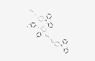 Fc1ccc([C@@H]2CCNC[C@H]2COc2ccc3c(c2)OCO3)cc1.OCCOCCN1CCN(C2=Nc3ccccc3Sc3ccccc32)CC1.OCCOCCN1CCN(C2=Nc3ccccc3Sc3ccccc32)CC1